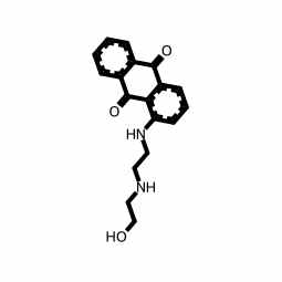 O=C1c2ccccc2C(=O)c2c(NCCNCCO)cccc21